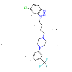 FC(F)(F)c1cccc(N2CCN(CCCCn3nnc4ccc(Cl)cc43)CC2)c1